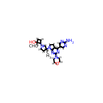 C[C@@]1(N2CCc3c(-c4cnc(N)nc4)nc(N4CCOCC4)nc32)CCN(C2CCC2(O)C=O)C1